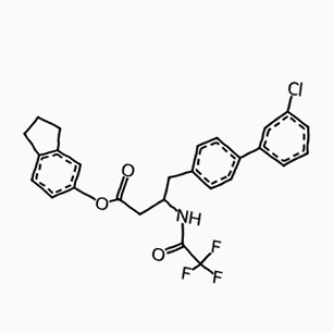 O=C(CC(Cc1ccc(-c2cccc(Cl)c2)cc1)NC(=O)C(F)(F)F)Oc1ccc2c(c1)CCC2